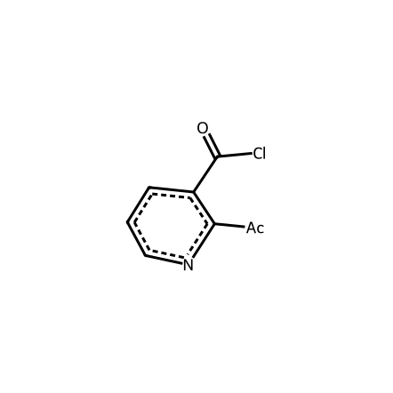 CC(=O)c1ncccc1C(=O)Cl